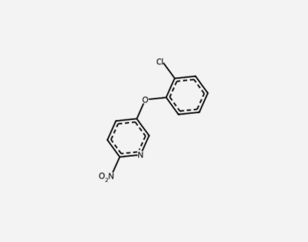 O=[N+]([O-])c1ccc(Oc2ccccc2Cl)cn1